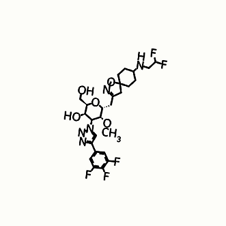 CO[C@@H]1[C@@H](n2cc(-c3cc(F)c(F)c(F)c3)nn2)[C@@H](O)[C@@H](CO)O[C@@H]1CC1=NOC2(CCC(NCC(F)F)CC2)C1